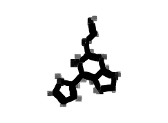 S=COc1nc2ncnc-2c(-c2ccco2)[nH]1